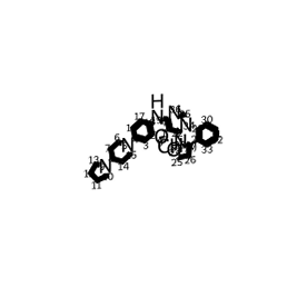 COc1cc(N2CCC(N3CCCC3)CC2)ccc1Nc1cc(N2OCC[C@@H]2c2ccccc2)ncn1